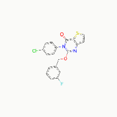 O=c1c2sccc2nc(OCc2cccc(F)c2)n1-c1ccc(Cl)cc1